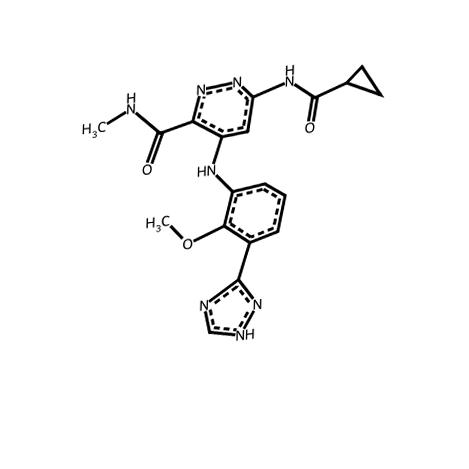 CNC(=O)c1nnc(NC(=O)C2CC2)cc1Nc1cccc(-c2nc[nH]n2)c1OC